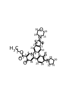 CCOC(=O)c1cn(-c2ccc3nc(N4CCOCC4)sc3c2)c(-c2ccc(N3CCCC3)c(F)c2)cc1=O